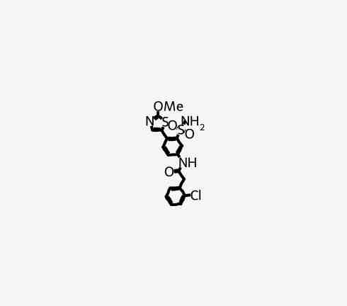 COc1ncc(-c2ccc(NC(=O)Cc3ccccc3Cl)cc2S(N)(=O)=O)s1